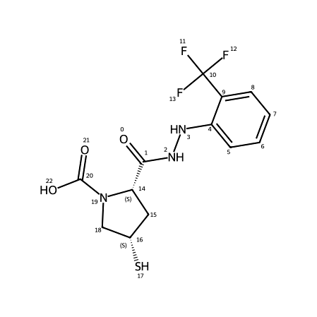 O=C(NNc1ccccc1C(F)(F)F)[C@@H]1C[C@H](S)CN1C(=O)O